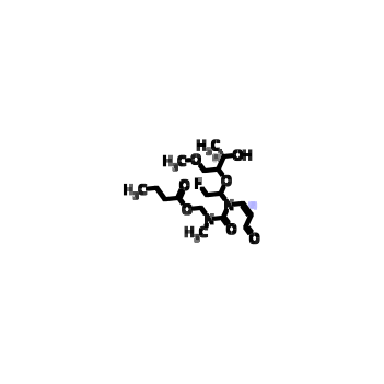 CCCC(=O)OCN(C)C(=O)N(/C=C\C=O)C(CF)OC(COC)[C@H](C)O